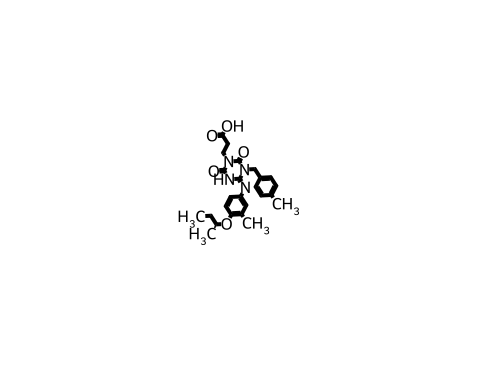 CC[C@@H](C)Oc1ccc(/N=c2\[nH]c(=O)n(CCC(=O)O)c(=O)n2Cc2ccc(C)cc2)cc1C